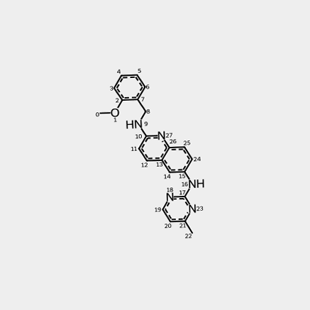 COc1ccccc1CNc1ccc2cc(Nc3nccc(C)n3)ccc2n1